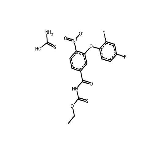 CCOC(=S)NC(=O)c1ccc([N+](=O)[O-])c(Oc2ccc(F)cc2F)c1.NC(O)=S